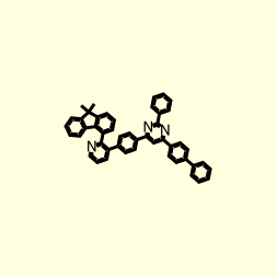 CC1(C)c2ccccc2-c2c(-c3ncccc3-c3ccc(-c4cc(-c5ccc(-c6ccccc6)cc5)nc(-c5ccccc5)n4)cc3)cccc21